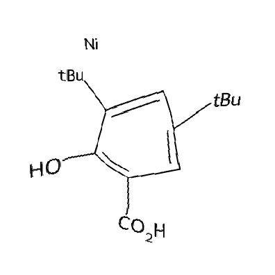 CC(C)(C)c1cc(C(=O)O)c(O)c(C(C)(C)C)c1.[Ni]